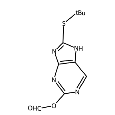 CC(C)(C)Sc1nc2nc(OC=O)ncc2[nH]1